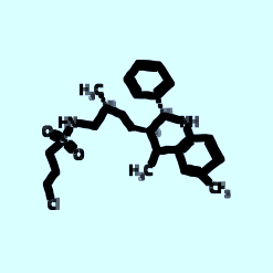 CC1c2cc(C(F)(F)F)ccc2N[C@@H](c2ccccc2)[C@@H]1CC[C@@H](C)CNS(=O)(=O)CCCCl